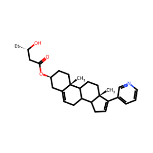 CC[C@H](O)CC(=O)O[C@H]1CC[C@@]2(C)C(=CCC3C2CC[C@]2(C)C(c4cccnc4)=CCC32)C1